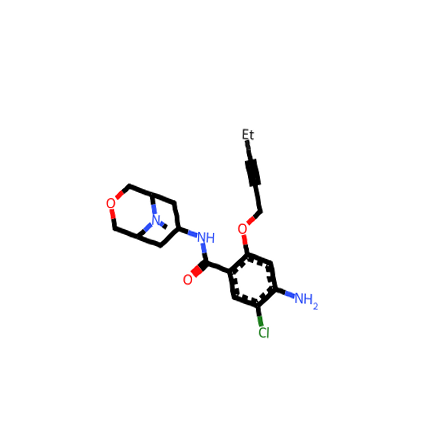 CCC#CCOc1cc(N)c(Cl)cc1C(=O)NC1CC2COCC(C1)N2C